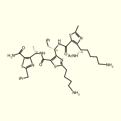 CC(=O)N[C@@H](CCCCN)c1nc(C)sc1C(=O)N[C@@H](CC(C)C)c1nc(CCCCN)sc1C(=O)N[C@@H](C)c1nc(CC(C)C)sc1C(N)=O